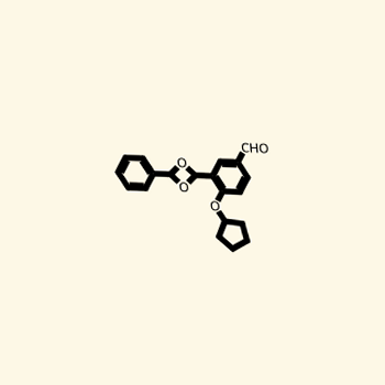 O=Cc1ccc(OC2CCCC2)c(C2OC(c3ccccc3)O2)c1